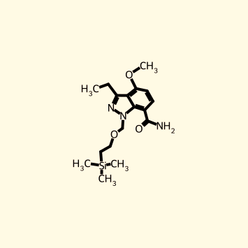 CCc1nn(COCC[Si](C)(C)C)c2c(C(N)=O)ccc(OC)c12